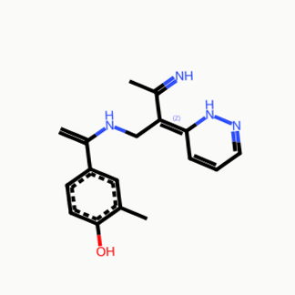 C=C(NC/C(C(C)=N)=C1\C=CC=NN1)c1ccc(O)c(C)c1